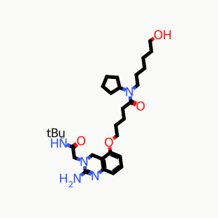 CC(C)(C)NC(=O)CN1Cc2c(cccc2OCCCCC(=O)N(CCCCCCO)C2CCCC2)N=C1N